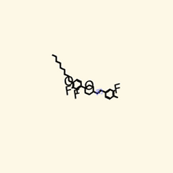 CCCCCCCCOc1ccc(C2CCC(/C=C/c3ccc(C)c(F)c3)CO2)c(F)c1F